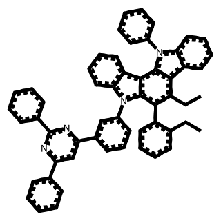 CCc1ccccc1-c1c(CC)c2c3ccccc3n(-c3ccccc3)c2c2c3ccccc3n(-c3cccc(-c4cc(-c5ccccc5)nc(-c5ccccc5)n4)c3)c12